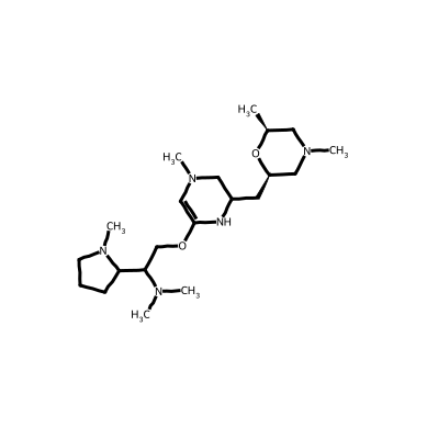 C[C@H]1CN(C)C[C@@H](CC2CN(C)C=C(OCC(C3CCCN3C)N(C)C)N2)O1